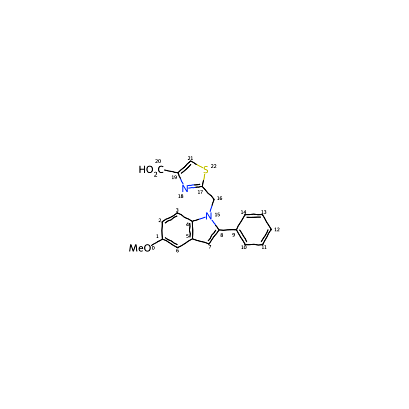 COc1ccc2c(c1)cc(-c1ccccc1)n2Cc1nc(C(=O)O)cs1